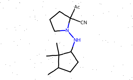 CC(=O)C1(C#N)CCCN1NC1CCC(C)C1(C)C